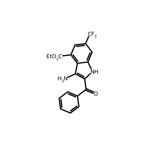 CCOC(=O)c1cc(C(F)(F)F)cc2[nH]c(C(=O)c3ccccc3)c(N)c12